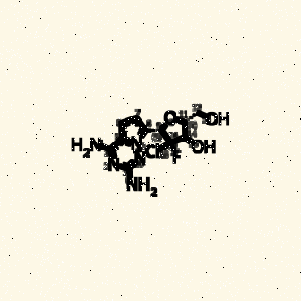 Nc1nc(N)c2ccc([C@@H]3O[C@H](CO)C(O)[C@]3(F)Cl)n2n1